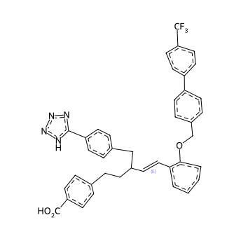 O=C(O)c1ccc(CCC(/C=C/c2ccccc2OCc2ccc(-c3ccc(C(F)(F)F)cc3)cc2)Cc2ccc(-c3nnn[nH]3)cc2)cc1